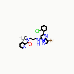 CN(CCCNc1cc(-c2ccccc2Cl)nc2c(Br)cnn12)C(=O)c1ccccn1